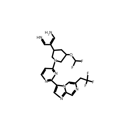 N=C/C(=C\N)C1CC(OC(F)F)CN(c2ccnc(-c3cnc4cnc(CC(F)(F)F)cn34)n2)C1